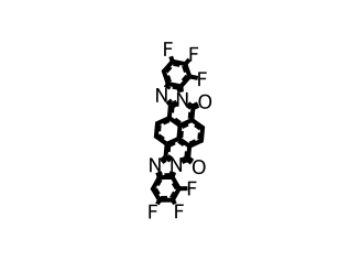 O=c1c2ccc3c(=O)n4c(nc5cc(F)c(F)c(F)c54)c4ccc(c2c34)c2nc3cc(F)c(F)c(F)c3n12